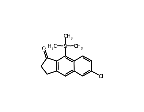 C[Si](C)(C)c1c2c(cc3cc(Cl)ccc13)CCC2=O